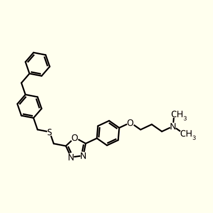 CN(C)CCCOc1ccc(-c2nnc(CSCc3ccc(Cc4ccccc4)cc3)o2)cc1